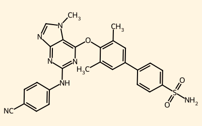 Cc1cc(-c2ccc(S(N)(=O)=O)cc2)cc(C)c1Oc1nc(Nc2ccc(C#N)cc2)nc2ncn(C)c12